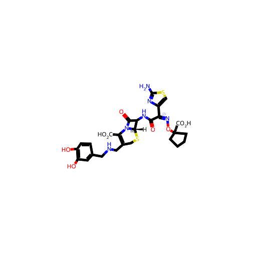 Nc1nc(/C(=N/OC2(C(=O)O)CCCC2)C(=O)NC2C(=O)N3C(C(=O)O)=C(CNCc4ccc(O)c(O)c4)CS[C@@H]23)cs1